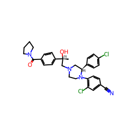 C[C@@](O)(CN1CCN(c2ccc(C#N)cc2Cl)[C@H](c2ccc(Cl)cc2)C1)c1ccc(C(=O)N2CCCC2)cc1